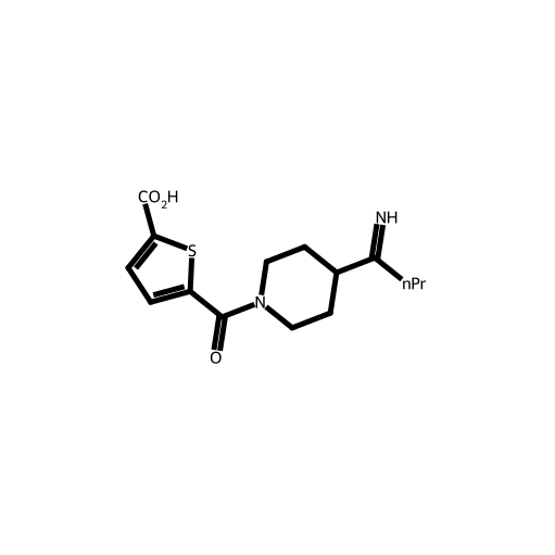 CCCC(=N)C1CCN(C(=O)c2ccc(C(=O)O)s2)CC1